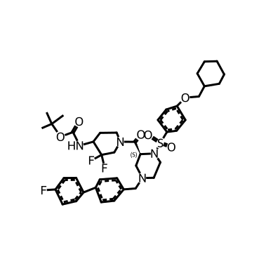 CC(C)(C)OC(=O)NC1CCN(C(=O)[C@@H]2CN(Cc3ccc(-c4ccc(F)cc4)cc3)CCN2S(=O)(=O)c2ccc(OCC3CCCCC3)cc2)CC1(F)F